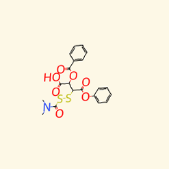 CN(C)C(=O)SSC(C(=O)Oc1ccccc1)C(OC(=O)c1ccccc1)C(=O)O